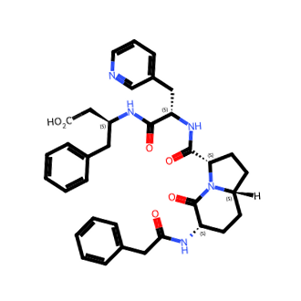 O=C(O)C[C@H](Cc1ccccc1)NC(=O)[C@H](Cc1cccnc1)NC(=O)[C@@H]1CC[C@@H]2CC[C@H](NC(=O)Cc3ccccc3)C(=O)N21